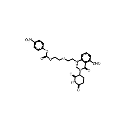 CN(C(=O)c1c(C=O)cccc1NCCOCCOC(=O)Oc1ccc([N+](=O)[O-])cc1)C1CCC(=O)NC1=O